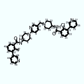 O=C(NC1CCN(c2ccc(CN3CCC(NC(=O)c4cccc(-c5cccnc5)c4Cl)CC3)cn2)CC1)c1cccc(-c2cccnc2)c1F